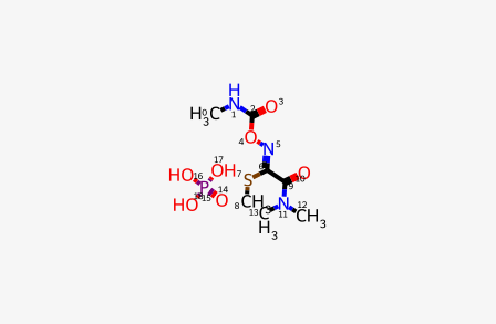 CNC(=O)ON=C(SC)C(=O)N(C)C.O=P(O)(O)O